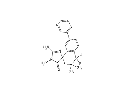 CN1C(=O)C2(CC(C)(C)C(F)(F)c3ccc(-c4cncnc4)cc32)N=C1N